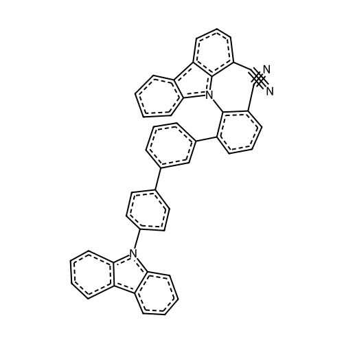 N#Cc1cccc(-c2cccc(-c3ccc(-n4c5ccccc5c5ccccc54)cc3)c2)c1-n1c2ccccc2c2cccc(C#N)c21